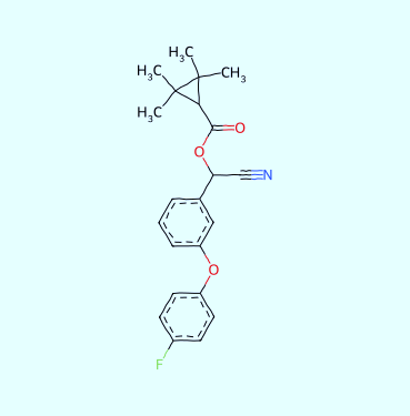 CC1(C)C(C(=O)OC(C#N)c2cccc(Oc3ccc(F)cc3)c2)C1(C)C